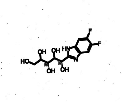 OCC(O)[C@@H](O)C(O)[C@@H](O)c1nc2cc(F)c(F)cc2[nH]1